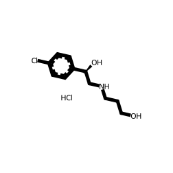 Cl.OCCCNC[C@H](O)c1ccc(Cl)cc1